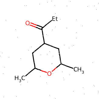 CCC(=O)C1CC(C)OC(C)C1